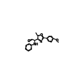 COc1ccc(-c2nc(C(C=O)Nc3ccccc3)c(C)o2)cc1